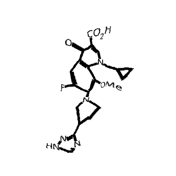 COc1c(N2CCC(c3nc[nH]n3)C2)c(F)cc2c(=O)c(C(=O)O)cn(C3CC3)c12